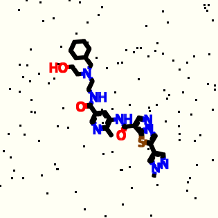 Cc1ncc(C(=O)NCCN(CCO)CC2CCCCC2)cc1NC(=O)c1cnn2cc(-c3cnn(C)c3)sc12